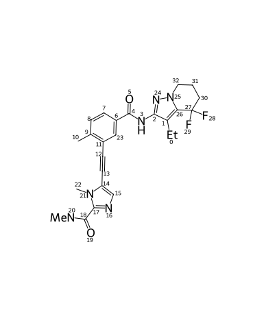 CCc1c(NC(=O)c2ccc(C)c(C#Cc3cnc(C(=O)NC)n3C)c2)nn2c1C(F)(F)CCC2